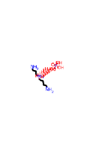 NCCCCNCCCN.O.O.O.O.O.O.O=P(O)(O)O